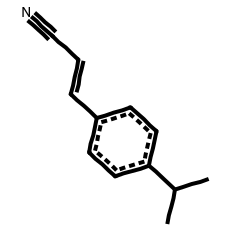 CC(C)c1ccc(/C=C/C#N)cc1